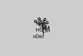 CCCCCCCCCCCCCC[C@@H](O)[C@@H](O)[C@H](/C=C/[C@H]1OC(COCc2ccccc2)[C@H](OCc2ccccc2)[C@@H](OCc2ccccc2)C1OCc1ccccc1)NC(=O)CC